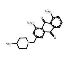 COc1cccc2c1C(=O)c1c(OC)cc(CN3CCC(OC(C)=O)CC3)cc1C2=O